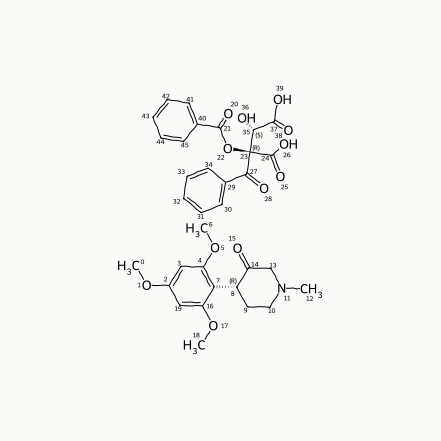 COc1cc(OC)c([C@H]2CCN(C)CC2=O)c(OC)c1.O=C(O[C@@](C(=O)O)(C(=O)c1ccccc1)[C@H](O)C(=O)O)c1ccccc1